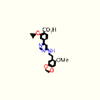 COc1cc2c(cc1CCNc1cc(-c3ccc(C(=O)O)c(OC4CC4)c3)ncn1)OCCO2